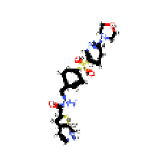 O=C(NCc1ccc(S(=O)(=O)c2ccc(N3CCOCC3)nc2)cc1)c1cc2ccncc2s1